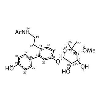 CO[C@@H]1[C@@H](O)[C@@H](O)[C@H](Oc2ccc(CCNC(C)=O)c(-c3ccc(O)cc3)c2)OC1(C)C